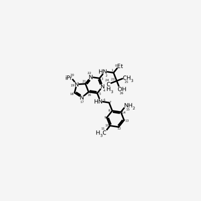 CCC(Nc1nc(NCc2cc(C)ccc2N)c2ncn(C(C)C)c2n1)C(C)(C)O